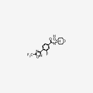 O=C(N=[SH]1(O)CCOCC1)c1ccc(-c2noc(C(F)(F)F)n2)c(F)c1